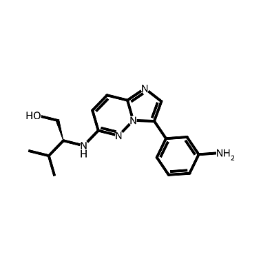 CC(C)[C@@H](CO)Nc1ccc2ncc(-c3cccc(N)c3)n2n1